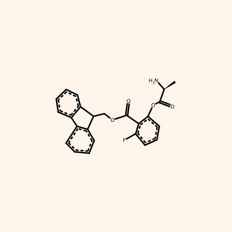 C[C@H](N)C(=O)Oc1cccc(F)c1C(=O)OCC1c2ccccc2-c2ccccc21